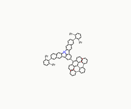 CC(C)c1cccc(C(C)C)c1-c1ccc2cc3c(cc2c1)c1cc(-c2c4ccccc4c(-c4c(-c5ccccc5)cccc4-c4ccccc4)c4ccccc24)cc2c4cc5cc(-c6c(C(C)C)cccc6C(C)C)ccc5cc4n3c12